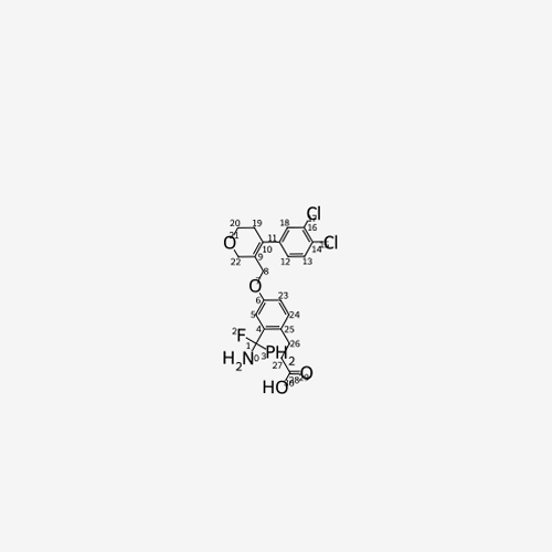 NC(F)(P)c1cc(OCC2=C(c3ccc(Cl)c(Cl)c3)CCOC2)ccc1CCC(=O)O